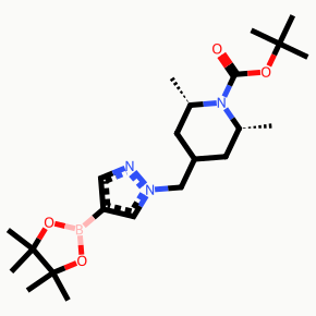 C[C@@H]1CC(Cn2cc(B3OC(C)(C)C(C)(C)O3)cn2)C[C@H](C)N1C(=O)OC(C)(C)C